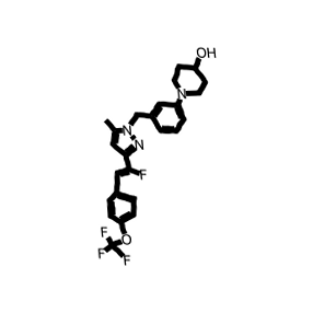 Cc1cc(C(F)=Cc2ccc(OC(F)(F)F)cc2)nn1Cc1cccc(N2CCC(O)CC2)c1